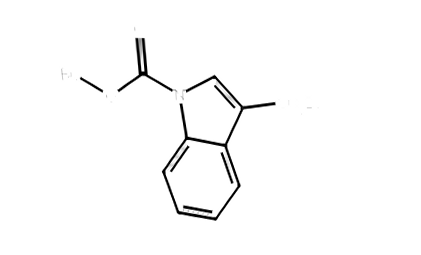 CCOC(=O)c1cn(C(=O)OC(C)(C)C)c2ccccc12